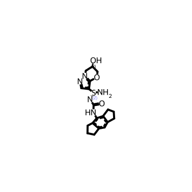 N/S(=N\C(=O)Nc1c2c(cc3c1CCC3)CCC2)c1cnn2c1OC[C@H](O)C2